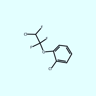 FC(Cl)C(F)(F)Oc1ccccc1Cl